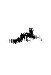 COCCC1(C(=O)N2CC(F)(F)C2)Cc2ccc(-c3nccc(Nc4ccc(-c5cn[nH]c5)cc4)n3)cc2N1